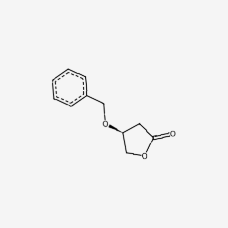 O=C1C[C@H](OCc2ccccc2)CO1